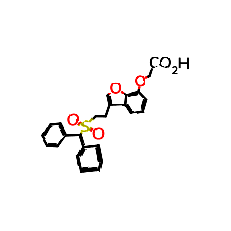 O=C(O)COc1cccc2c(CCS(=O)(=O)C(c3ccccc3)c3ccccc3)coc12